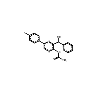 CC(=O)Nc1ncc(-c2ccc(F)cc2)nc1C(O)c1ccccc1